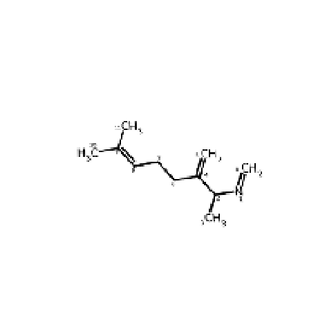 C=NC(C)C(=C)CCC=C(C)C